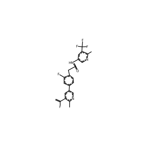 C=C(F)c1cc(-c2ccc(CC(=O)Nc3cnc(C)c(C(F)(F)F)c3)c(F)c2)cnc1C